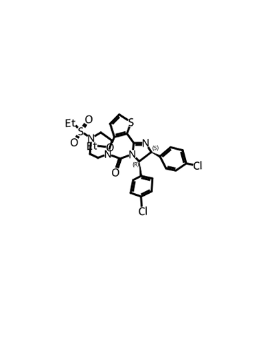 CCOc1ccsc1C1=N[C@@H](c2ccc(Cl)cc2)[C@@H](c2ccc(Cl)cc2)N1C(=O)N1CCN(S(=O)(=O)CC)CC1